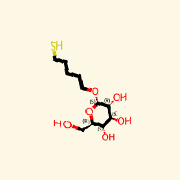 OC[C@H]1O[C@H](OCCCCCS)[C@H](O)[C@@H](O)[C@@H]1O